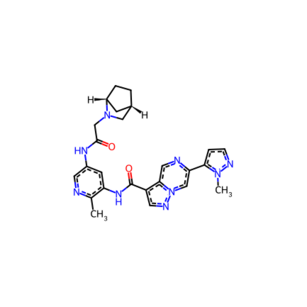 Cc1ncc(NC(=O)CN2C[C@H]3CC[C@@H]2C3)cc1NC(=O)c1cnn2cc(-c3ccnn3C)ncc12